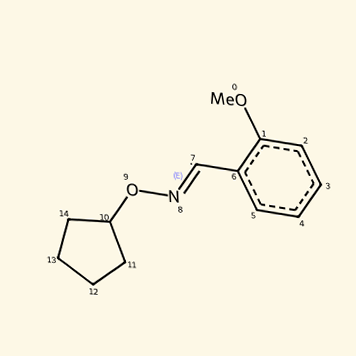 COc1ccccc1/[C]=N/OC1CCCC1